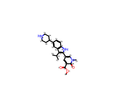 COC(=O)c1cc(-c2[nH]c3ccc(C4CCNCC4)cc3c2C(C)C)cn(C)c1=O